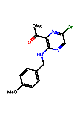 COC(=O)c1nc(Br)cnc1NCc1ccc(OC)cc1